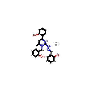 CC1=CC(c2ccccc2O)=NC(NN=Cc2ccccc2O)N1Cc1ccccc1O.[Co]